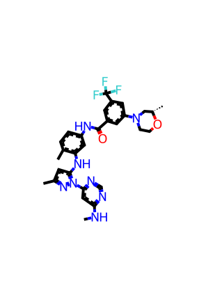 CNc1cc(-n2nc(C)cc2Nc2cc(NC(=O)c3cc(N4CCO[C@@H](C)C4)cc(C(F)(F)F)c3)ccc2C)ncn1